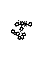 CC1(C)c2ccccc2-c2c(N(c3ccc(-c4c5nc(-c6ccccc6)oc5cc5oc6ccccc6c45)cc3)c3ccc4sc5ccccc5c4c3)cccc21